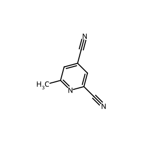 Cc1cc(C#N)cc(C#N)n1